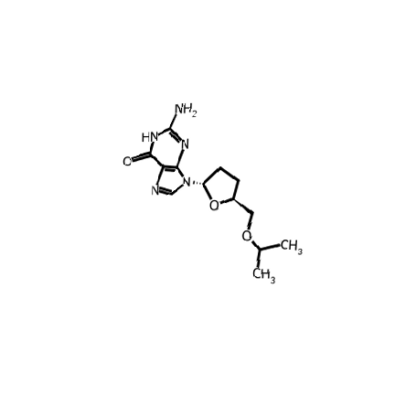 CC(C)OC[C@@H]1CC[C@@H](n2cnc3c(=O)[nH]c(N)nc32)O1